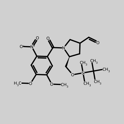 COc1cc(C(=O)N2CC(C=O)C[C@H]2CO[Si](C)(C)C(C)(C)C)c([N+](=O)[O-])cc1OC